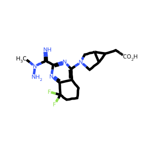 CN(N)C(=N)c1nc(N2CC3C(CC(=O)O)C3C2)c2c(n1)C(F)(F)CCC2